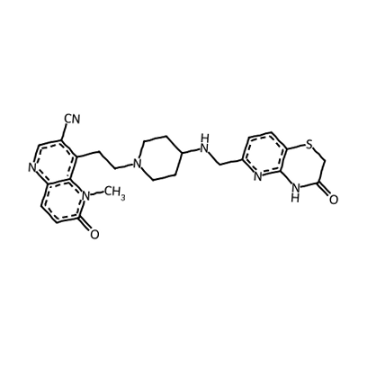 Cn1c(=O)ccc2ncc(C#N)c(CCN3CCC(NCc4ccc5c(n4)NC(=O)CS5)CC3)c21